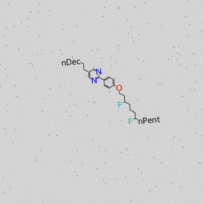 CCCCCCCCCCCCc1cnc(-c2ccc(OCCC(F)CCCC(F)CCCCC)cc2)nc1